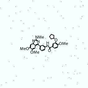 CNc1nc(-c2cccc(NC(=O)c3ccc(OC)c(OC4CCCC4)c3)c2)c2cc(OC)c(OC)cc2n1